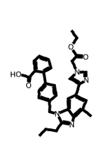 CCCc1nc2c(C)cc(-c3cn(CC(=O)OCC)cn3)cc2n1Cc1ccc(-c2ccccc2C(=O)O)cc1